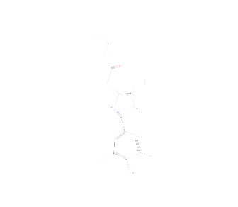 CCOC(=O)Cc1nc(-c2cc(I)c(O)c(I)c2)[nH]c1C